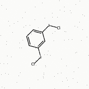 Cl[I]c1cccc([I]Cl)c1